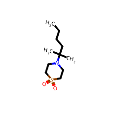 CCCCC(C)(C)N1CCS(=O)(=O)CC1